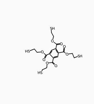 O=C(OCCS)c1cc(C(=O)OCCS)c(C(=O)OCCS)cc1C(=O)OCCS